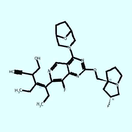 C#CC(CO)/C(CC)=C(/CC)c1ncc2c(N3CC4CCC(C3)O4)nc(OC[C@@]34CCCN3C[C@H](F)C4)nc2c1F